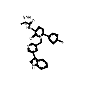 CN[C@@H](C)C(=O)Nc1ccc(-c2ccc(F)cc2)n(Cc2cncc(-c3c[nH]c4ccccc34)c2)c1=O